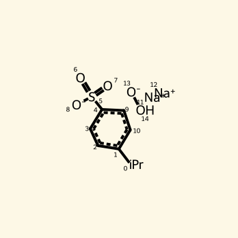 CC(C)c1ccc(S(=O)(=O)[O-])cc1.[Na+].[Na+].[O-]O